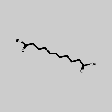 CC(C)(C)C(=O)CCCCCCCCCC(=O)C(C)(C)C